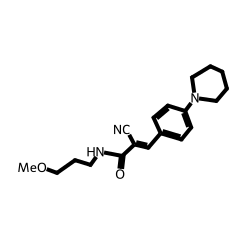 COCCCNC(=O)/C(C#N)=C/c1ccc(N2CCCCC2)cc1